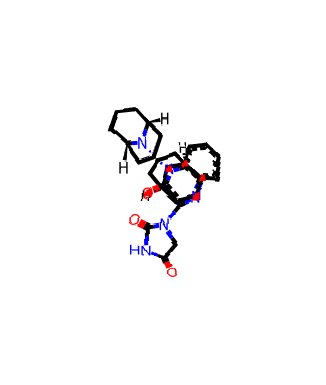 O=C1CN(c2nc3ccccc3n([C@H]3C[C@H]4CCC[C@@H](C3)N4[C@H]3C[C@@H]4CCC[C@@H](C4)C3)c2=O)C(=O)N1